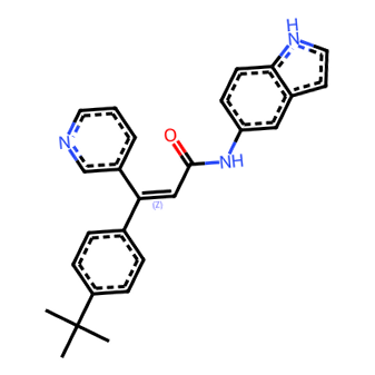 CC(C)(C)c1ccc(/C(=C/C(=O)Nc2ccc3[nH]ccc3c2)c2cccnc2)cc1